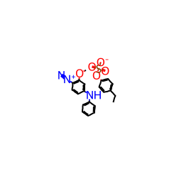 CCc1ccc(OS(=O)(=O)[O-])cc1.COc1cc(Nc2ccccc2)ccc1[N+]#N